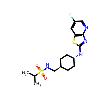 CC(C)S(=O)(=O)NC[C@H]1CC[C@H](Nc2nc3ncc(F)cc3s2)CC1